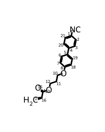 [C-]#[N+]c1ccc(-c2ccc(OCCCOC(=O)C=C)cc2)cc1